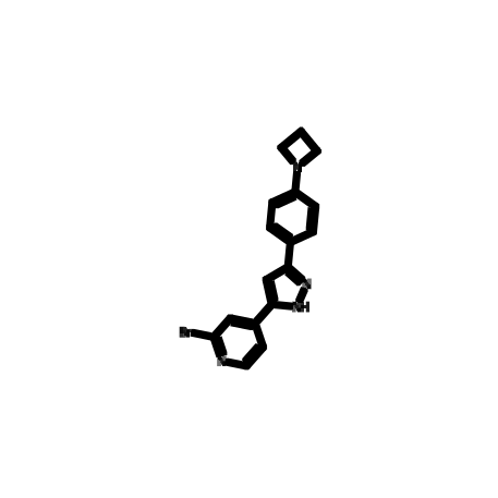 Brc1cc(-c2cc(-c3ccc(N4CCC4)cc3)n[nH]2)ccn1